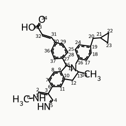 CN/C=C(\C=N)c1ccc2c(c1)CC(C)N(c1ccc(CC3CC3)cc1)C2c1ccc(/C=C/C(=O)O)cc1